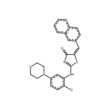 O=C1N=C(Nc2cc(N3CCOCC3)ccc2Cl)SC1=Cc1ccc2ncccc2c1